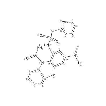 NC(=O)N(c1ccccc1Br)c1ccc([N+](=O)[O-])cc1NS(=O)(=O)Cc1ccccc1